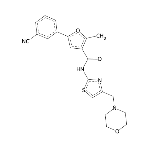 Cc1oc(-c2cccc(C#N)c2)cc1C(=O)Nc1nc(CN2CCOCC2)cs1